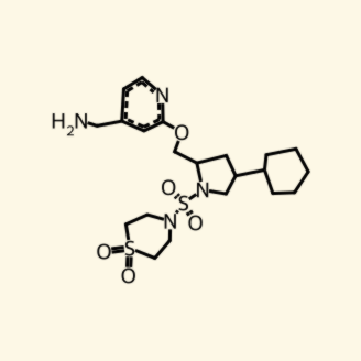 NCc1ccnc(OCC2CC(C3CCCCC3)CN2S(=O)(=O)N2CCS(=O)(=O)CC2)c1